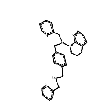 c1ccc(CNCc2ccc(CN(Cc3ccccn3)C3CCCc4cccnc43)cc2)nc1